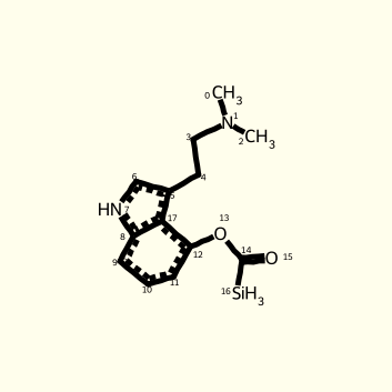 CN(C)CCc1c[nH]c2cccc(OC(=O)[SiH3])c12